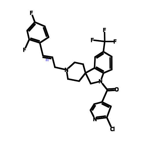 O=C(c1ccnc(Cl)c1)N1CC2(CCN(C/C=C/c3ccc(F)cc3F)CC2)c2cc(C(F)(F)F)ccc21